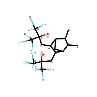 CC1C(C)C2CC1C(CC(O)(C(F)(F)F)C(F)(F)F)C2CC(O)(C(F)(F)F)C(F)(F)F